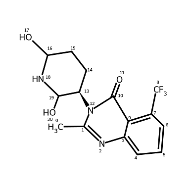 Cc1nc2cccc(C(F)(F)F)c2c(=O)n1[C@@H]1CCC(O)NC1O